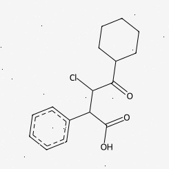 O=C(C1CCCCC1)C(Cl)C(C(=O)O)c1ccccc1